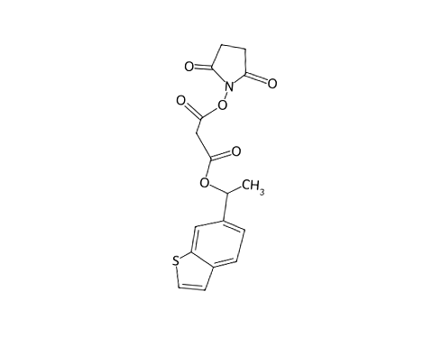 CC(OC(=O)CC(=O)ON1C(=O)CCC1=O)c1ccc2ccsc2c1